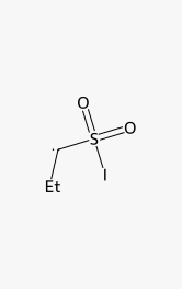 CC[CH]S(=O)(=O)I